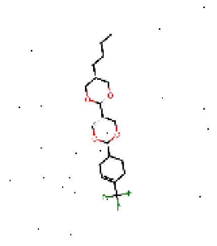 CCCC[C@H]1CO[C@H]([C@H]2CO[C@H](C3CC=C(C(F)(F)F)CC3)OC2)OC1